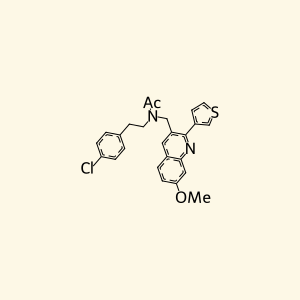 COc1ccc2cc(CN(CCc3ccc(Cl)cc3)C(C)=O)c(-c3ccsc3)nc2c1